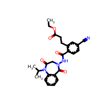 CCOC(=O)CCc1cc(C#N)ccc1C(=O)NN1CC(=O)N(C(C)C)c2ccccc2C1=O